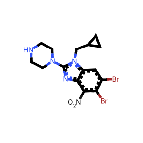 O=[N+]([O-])c1c(Br)c(Br)cc2c1nc(N1CCNCC1)n2CC1CC1